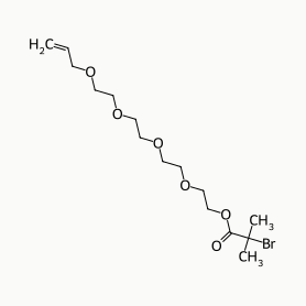 C=CCOCCOCCOCCOCCOC(=O)C(C)(C)Br